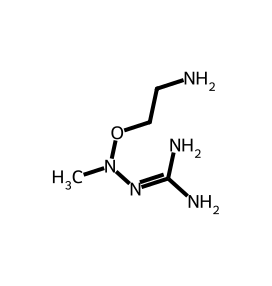 CN(N=C(N)N)OCCN